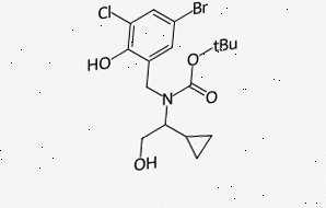 CC(C)(C)OC(=O)N(Cc1cc(Br)cc(Cl)c1O)C(CO)C1CC1